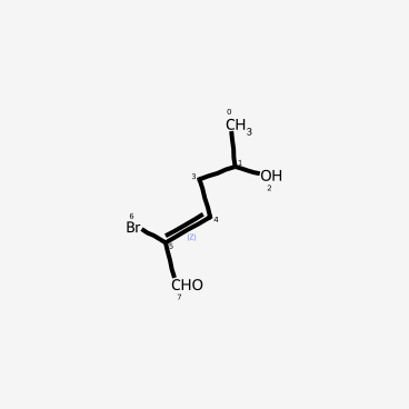 CC(O)C/C=C(\Br)C=O